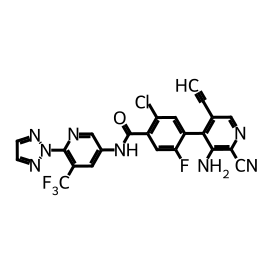 C#Cc1cnc(C#N)c(N)c1-c1cc(Cl)c(C(=O)Nc2cnc(-n3nccn3)c(C(F)(F)F)c2)cc1F